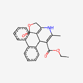 CCOC(=O)C1=C(C)NC2=C(C(=O)OC2)C1c1ccccc1-c1ccccc1